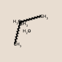 CCCCCCCCCCCCCCCC[N+](C)(C)CCCCCCCCCCCCCCCC.O